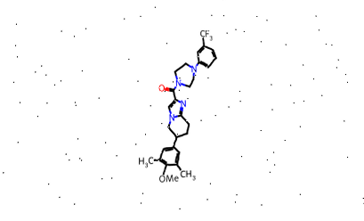 COc1c(C)cc(C2CCc3nc(C(=O)N4CCN(c5cccc(C(F)(F)F)c5)CC4)cn3C2)cc1C